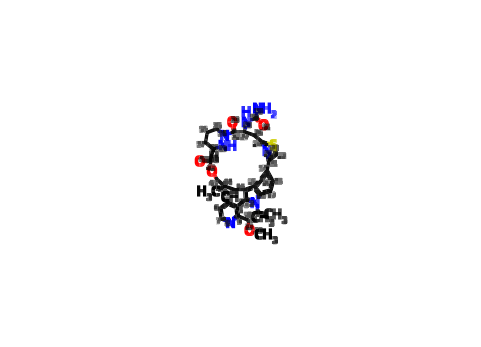 CCn1c(-c2cccnc2[C@H](C)OC)c2c3cc(ccc31)-c1csc(n1)C[C@H](NC(N)=O)C(=O)N1CCC[C@H](N1)C(=O)OCC(C)(C)C2